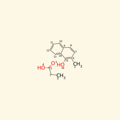 CCC(=O)O.Cc1ccc2ccccc2c1O